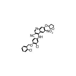 N#Cc1cnc2cc(OC3CCOC3)c([N+](=O)[O-])cc2c1Nc1ccc(OCc2ccccc2Cl)c(Cl)c1